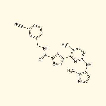 Cc1cnc(Nc2ccnn2C)nc1-c1coc(C(=O)NCc2cccc(C#N)c2)n1